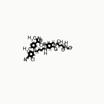 Cc1ccc(-c2c(C)noc2C)cc1N(CCCCNc1cc2c(cc1F)CN(C(C)CCC(=O)NC=O)C2=O)c1ccc(C#N)c(Cl)c1